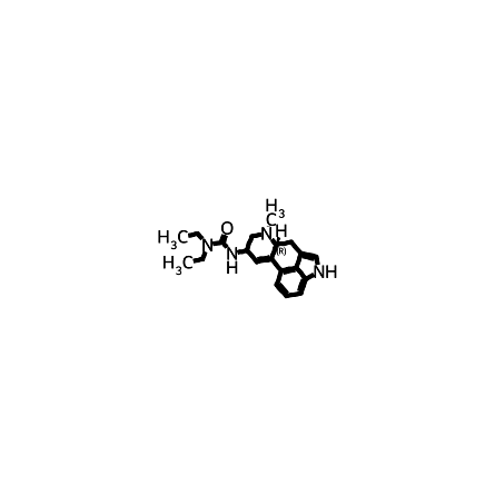 CCN(CC)C(=O)NC1C=C2c3cccc4[nH]cc(c34)C[C@H]2N(C)C1